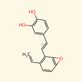 C=Cc1ccc2c(c1/C=C/c1ccc(O)c(O)c1)O2